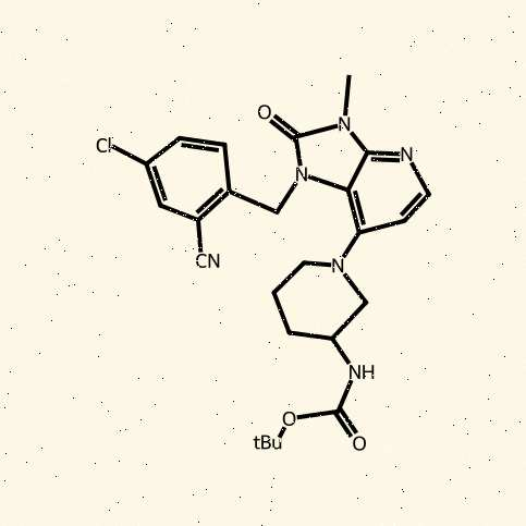 Cn1c(=O)n(Cc2ccc(Cl)cc2C#N)c2c(N3CCCC(NC(=O)OC(C)(C)C)C3)ccnc21